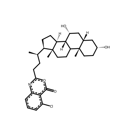 C[C@H](CCc1nc2cccc(Cl)c2c(=O)o1)[C@H]1CC[C@H]2[C@H]3C(CC[C@]12C)[C@@]1(C)CC[C@@H](O)C[C@H]1C[C@H]3O